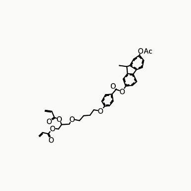 C=CC(=O)OCC(COCCCCOc1ccc(C(=O)Oc2ccc3c(c2)C(C)c2cc(OC(C)=O)ccc2-3)cc1)OC(=O)C=C